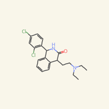 CCN(CC)CCC1C(=O)NC(c2ccc(Cl)cc2Cl)c2ccccc21